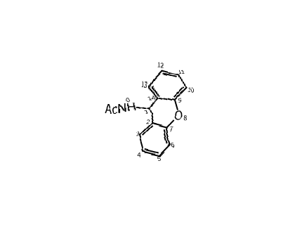 CC(=O)NC1c2ccccc2Oc2ccccc21